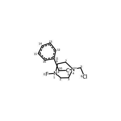 F[N+]12CC[N+](CCl)(CC1)CC2c1ccccc1